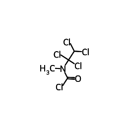 CN(C(=O)Cl)C(Cl)(Cl)C(Cl)Cl